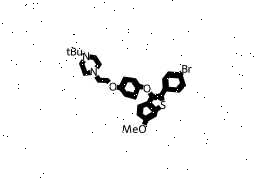 COc1ccc2c(Oc3ccc(OCCN4CCN(C(C)(C)C)CC4)cc3)c(-c3ccc(Br)cc3)sc2c1